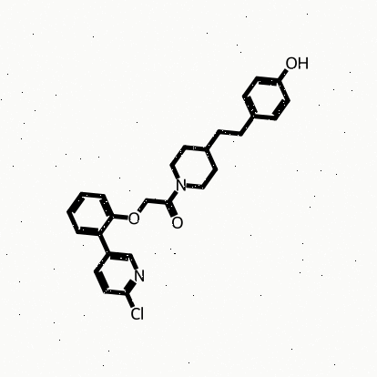 O=C(COc1ccccc1-c1ccc(Cl)nc1)N1CCC(CCc2ccc(O)cc2)CC1